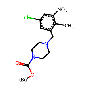 Cc1c(CN2CCN(C(=O)OC(C)(C)C)CC2)cc(Cl)cc1[N+](=O)[O-]